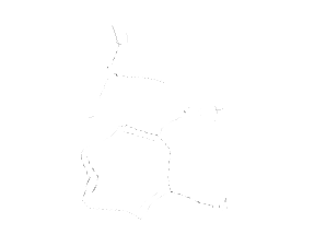 CC(=O)Oc1ccccc1C(=O)O.CCN(CC)CC